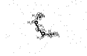 COc1cc(/C=C(\C)C(=O)CC(=O)/C(C)=C/c2ccc(OCCN(C(=O)O)C(C)(C)C)c(OC)c2)ccc1OCCNC(=O)OC(C)(C)C